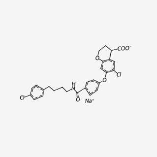 O=C(NCCCCc1ccc(Cl)cc1)c1ccc(Oc2cc3c(cc2Cl)C(C(=O)[O-])CCO3)cc1.[Na+]